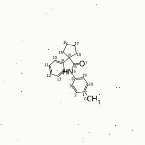 Cc1ccc(NC(=O)C2(c3ccccc3)CCCC2)cc1